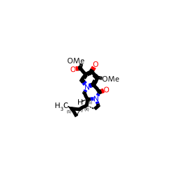 COC(=O)c1cn2c(c(OC)c1=O)C(=O)N1CC[C@H]([C@@H]3C[C@@H]3C)[C@H]1C2